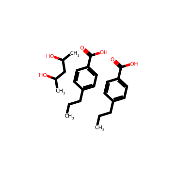 CC(O)CC(C)O.CCCc1ccc(C(=O)O)cc1.CCCc1ccc(C(=O)O)cc1